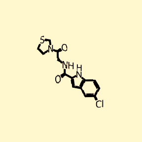 O=C(NCC(=O)N1CCSC1)c1cc2cc(Cl)ccc2[nH]1